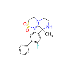 CC1(c2ccc(-c3ccccc3)c(F)c2)NCCN2CCS(=O)(=O)N=C21